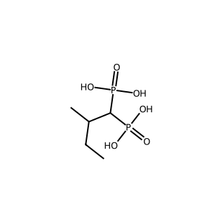 CCC(C)C(P(=O)(O)O)P(=O)(O)O